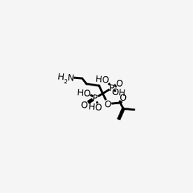 C=C(C)C(=O)OC(CCCN)(P(=O)(O)O)P(=O)(O)O